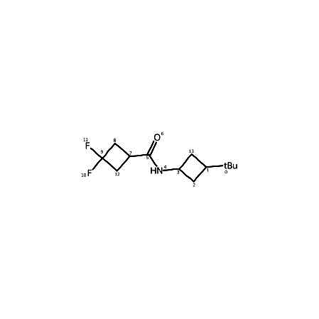 CC(C)(C)C1CC(NC(=O)C2CC(F)(F)C2)C1